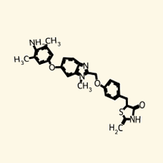 C=C1NC(=O)C(Cc2ccc(OCc3nc4ccc(Oc5cc(C)c(N)c(C)c5)cc4n3C)cc2)S1